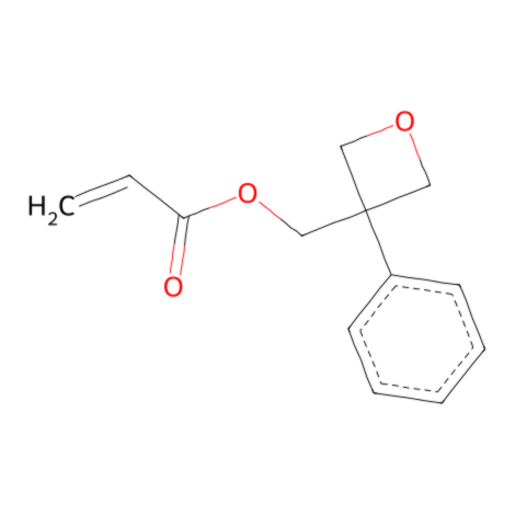 C=CC(=O)OCC1(c2ccccc2)COC1